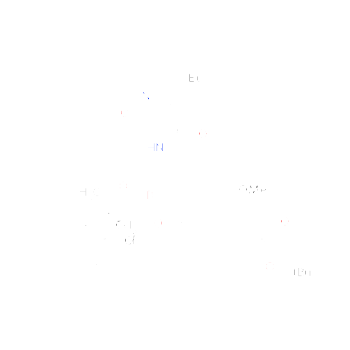 CC/C(=N/OCc1ccccc1)C(=O)NC(Cc1cccc(C(=O)OC(C)(C)C)c1OC)B1OC2CC3CC(C3(C)C)C2(C)O1